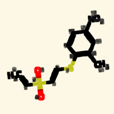 C=CS(=O)(=O)C=CSc1ccc([N+](=O)[O-])cc1C